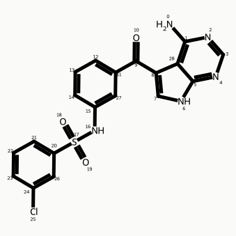 Nc1ncnc2[nH]cc(C(=O)c3cccc(NS(=O)(=O)c4cccc(Cl)c4)c3)c12